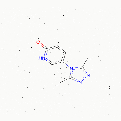 Cc1nnc(C)n1-c1ccc(=O)[nH]c1